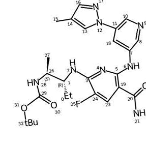 CC[C@@H](Nc1nc(Nc2cncc(-n3cc(C)cn3)c2)c(C(N)=O)cc1F)[C@H](C)NC(=O)OC(C)(C)C